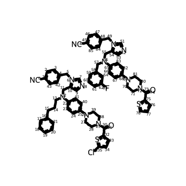 N#Cc1ccc(Cn2cncc2CN(CCCc2ccccc2)c2ccc(N3CCN(C(=O)c4ccc(Cl)s4)CC3)cc2)cc1.N#Cc1ccc(Cn2cncc2CN(Cc2cccc(F)c2)c2ccc(N3CCN(C(=O)c4cccs4)CC3)cc2)cc1